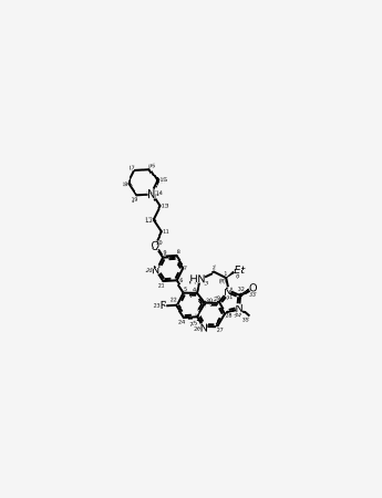 CC[C@@H]1CNc2c(-c3ccc(OCCCN4CCCCC4)nc3)c(F)cc3ncc4c(c23)n1c(=O)n4C